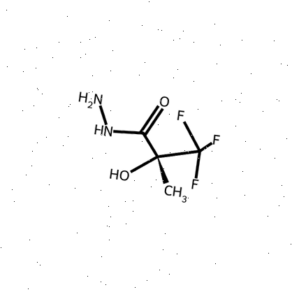 C[C@@](O)(C(=O)NN)C(F)(F)F